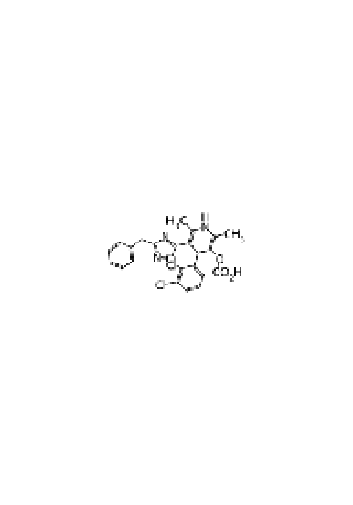 CC1=C(OC(=O)O)C(c2cccc(Cl)c2Cl)C(c2nc(Cc3ccccc3)no2)=C(C)N1